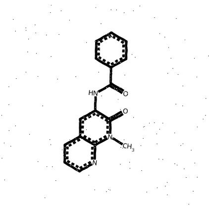 Cn1c(=O)c(NC(=O)c2ccccc2)cc2cccnc21